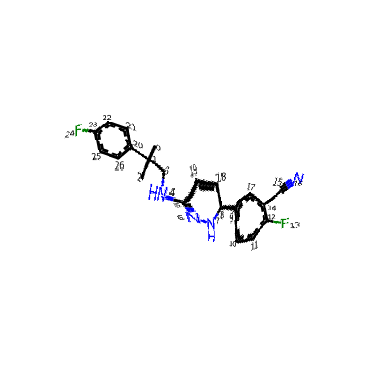 CC(C)(CNC1=NNC(c2ccc(F)c(C#N)c2)C=C1)c1ccc(F)cc1